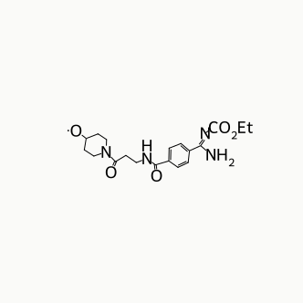 CCOC(=O)N=C(N)c1ccc(C(=O)NCCC(=O)N2CCC([O])CC2)cc1